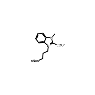 CCCCCCCCCCCC[n+]1c(C(=O)[O-])n(C)c2ccccc21